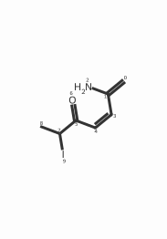 C=C(N)/C=C\C(=O)C(C)I